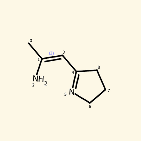 C/C(N)=C/C1=NCCC1